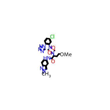 COCCC(C(=O)Nc1ccc2nn(C)cc2c1)N1CON(c2cc(Cl)ccc2-n2cnnn2)CO1